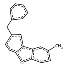 Cc1ccc2oc3ccc(Cc4ccccc4)cc3c2c1